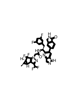 C[C@@H]1[C@@H]2c3c(C(F)F)nn(CC(=O)N[C@@H](Cc4cc(F)cc(F)c4)c4nc5cn[nH]c5cc4-c4ccc5c(c4)CNC5=O)c3C(F)(F)[C@H]12